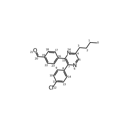 CCCCc1cnc(-c2ccc(Cl)cc2)c(-c2ccc(C=O)cc2)n1